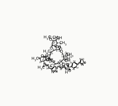 CC[C@H]1OC(=O)[C@H](C)[C@@H](O[C@H]2C[C@@](C)(OC)[C@@H](O)[C@H](C)O2)[C@H](C)[C@@H](O[C@@H]2O[C@H](C)C[C@H](N(C)CCc3cn(CCCNS(=O)(=O)c4ccc(C5=CCN=N5)cc4)nn3)[C@H]2O)[C@](C)(O)C[C@@H](C)CN(C)[C@H](C)[C@@H](O)[C@]1(C)O